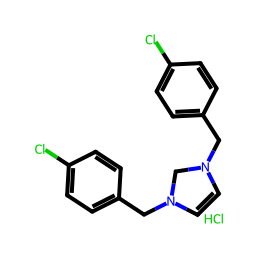 Cl.Clc1ccc(CN2C=CN(Cc3ccc(Cl)cc3)C2)cc1